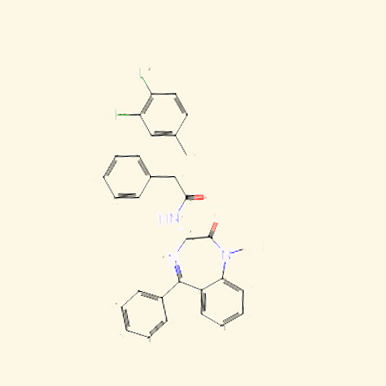 CN1C(=O)[C@@H](NC(=O)[C@@H](Cc2ccc(Cl)c(Cl)c2)c2ccccc2)N=C(c2ccccc2)c2ccccc21